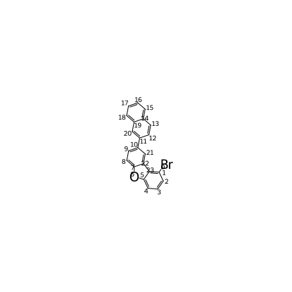 Brc1cccc2oc3ccc(-c4ccc5ccccc5c4)cc3c12